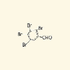 O=Cc1cc(Br)c(Br)c(Br)c1Br